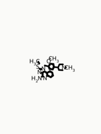 CCSc1nc2c(N)nc3ccccc3c2n1Cc1ccc(C2CCN(C)CC2)cc1OC